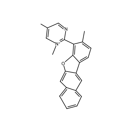 Cc1cnc(-c2c(C)ccc3c2oc2cc4ccccc4cc23)[n+](C)c1